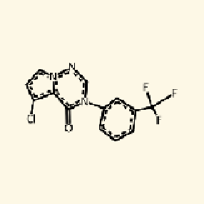 O=c1c2c(Cl)ccn2ncn1-c1cccc(C(F)(F)F)c1